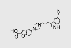 N#Cc1ccc2[nH]cc(CCCN3CCN(c4ccc5oc(C(=O)O)cc5c4)CC3)c2c1